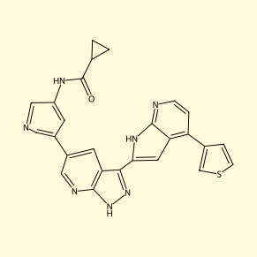 O=C(Nc1cncc(-c2cnc3[nH]nc(-c4cc5c(-c6ccsc6)ccnc5[nH]4)c3c2)c1)C1CC1